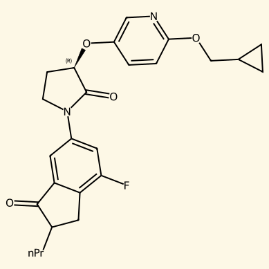 CCCC1Cc2c(F)cc(N3CC[C@@H](Oc4ccc(OCC5CC5)nc4)C3=O)cc2C1=O